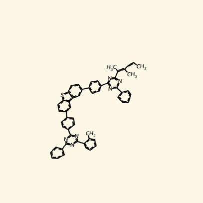 C/C=C\C(C)=C(/C)c1nc(-c2ccccc2)nc(-c2ccc(-c3ccc4sc5ccc(-c6ccc(-c7nc(-c8ccccc8)nc(-c8ccccc8C)n7)cc6)cc5c4c3)cc2)n1